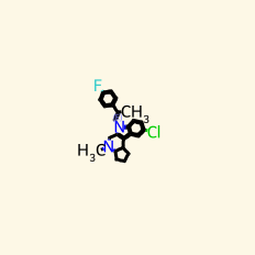 C/C(=C\n1c2c(c3cc(Cl)ccc31)C1CCCC1N(C)C2)c1ccc(F)cc1